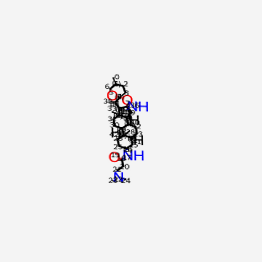 C[C@H]1CC[C@@]2(OC1)OC1C[C@H]3[C@@H]4CC[C@@H]5C[C@@H](NC(=O)CCN(C)C)CC[C@]5(C)[C@H]4CC[C@]3(C)[C@@]1(C=N)[C@@H]2C